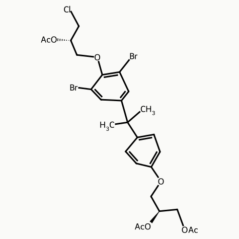 CC(=O)OC[C@H](COc1ccc(C(C)(C)c2cc(Br)c(OC[C@@H](CCl)OC(C)=O)c(Br)c2)cc1)OC(C)=O